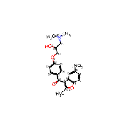 Cc1oc2ccc([N+](=O)[O-])cc2c1C(=O)c1ccc(OCC(O)CN(C)C)cc1